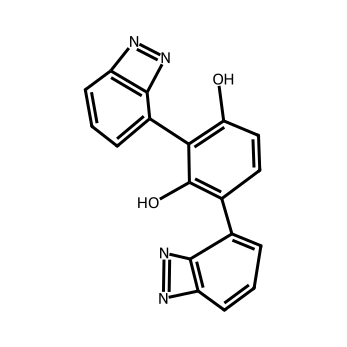 Oc1ccc(-c2cccc3c2N=N3)c(O)c1-c1cccc2c1N=N2